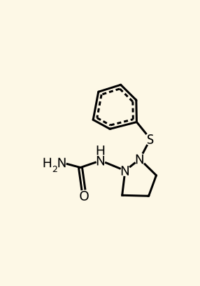 NC(=O)NN1CCCN1Sc1ccccc1